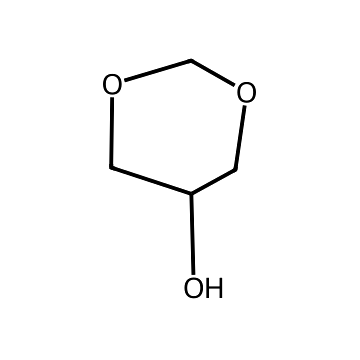 OC1COCOC1